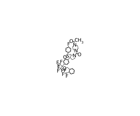 CC(=O)N1CCN(C(=O)N2CC[C@](c3ccc(C(OCc4ccccc4C(F)(F)F)(C(F)(F)F)C(F)(F)F)cc3)([S+]([O-])c3ccc(F)cc3)C2)CC1